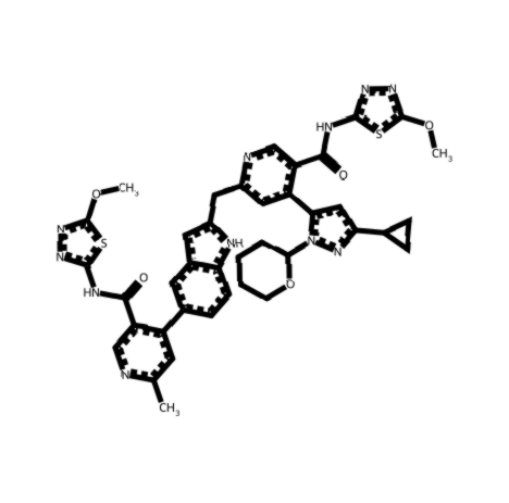 COc1nnc(NC(=O)c2cnc(C)cc2-c2ccc3[nH]c(Cc4cc(-c5cc(C6CC6)nn5C5CCCCO5)c(C(=O)Nc5nnc(OC)s5)cn4)cc3c2)s1